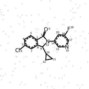 O=C1c2ccc(Cl)cc2C(C2CC2)N1c1cncc(F)c1